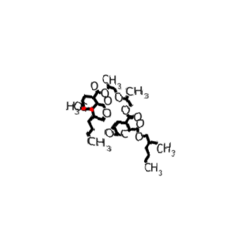 CCCCC(CC)COC(=O)C1CC2OC2CC1C(=O)OCC(C)OCC(C)OC(=O)C1CC2OC2CC1C(=O)OCC(CC)CCCC